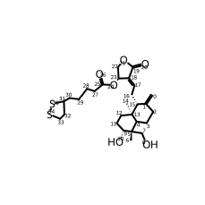 C=C1CCC2[C@](C)(CO)[C@H](O)CC[C@@]2(C)[C@@H]1C/C=C1/C(=O)OC[C@H]1OC(=O)CCCCC1CCSS1